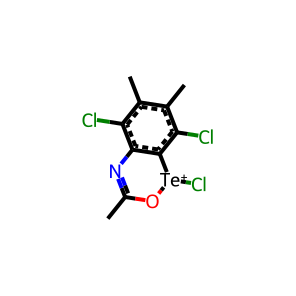 CC1=Nc2c(Cl)c(C)c(C)c(Cl)c2[Te+](Cl)O1